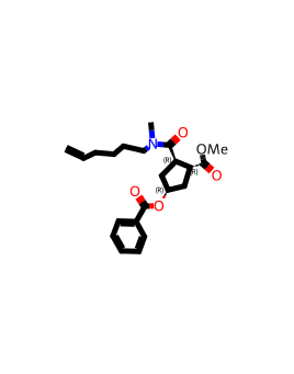 C=CCCCCN(C)C(=O)[C@@H]1C[C@@H](OC(=O)c2ccccc2)C[C@H]1C(=O)OC